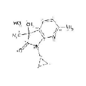 CC1(C)C(=O)N(C2CC2)c2nc(N)ccc21.Cl